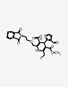 COC(=O)C1=C(CF)NC(COCCN2C(=O)c3ccccc3C2=O)=C(C(=O)O)C1c1sccc1C=O